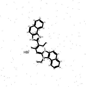 Br.CCC(=C(C)C=C1Sc2ccc3ccccc3c2N1CC)c1nc2c(ccc3ccccc32)s1